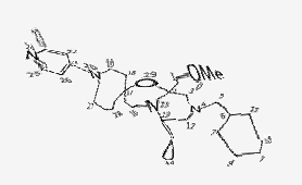 COCC12CN(CC3CCCCC3)CC(=O)N1CC1(CCN(c3ccncc3)CC1)O2